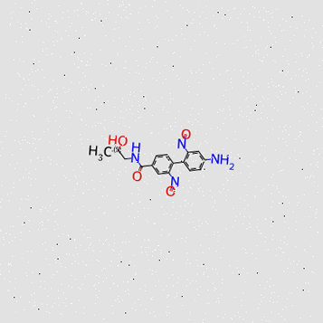 C[C@H](O)CNC(=O)c1ccc(-c2ccc(N)cc2N=O)c(N=O)c1